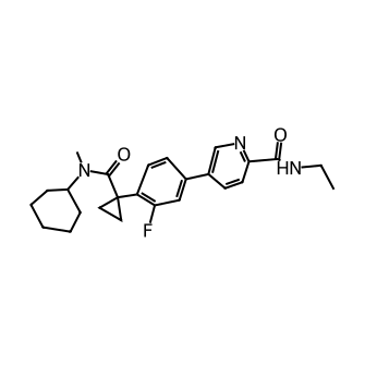 CCNC(=O)c1ccc(-c2ccc(C3(C(=O)N(C)C4CCCCC4)CC3)c(F)c2)cn1